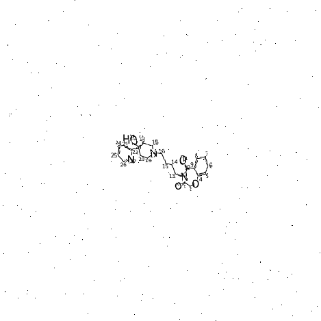 O=C1COc2ccccc2C(=O)N1CCCCN1CCC(O)(c2ccccn2)CC1